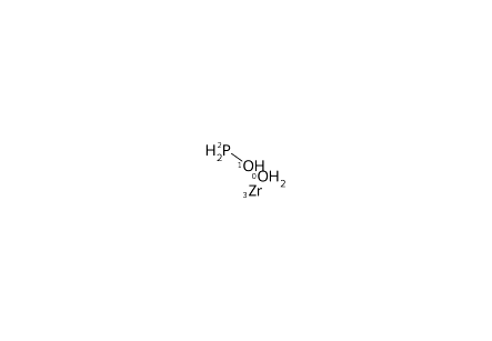 O.OP.[Zr]